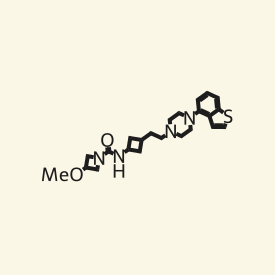 COC1CN(C(=O)NC2CC(CCN3CCN(c4cccc5sccc45)CC3)C2)C1